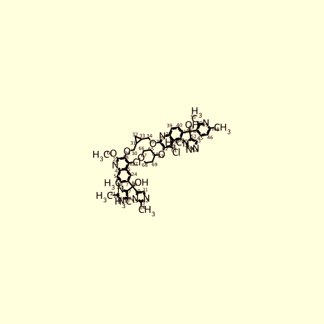 COc1nc2ccc(C(O)(c3cnc(C)n3C)c3cnc(C)n3C)cc2c(Cl)c1OCC1CC1COc1nc2ccc(C(O)(c3ccc(C)nc3C)c3cnnn3C)cc2c(Cl)c1OC1CCOCC1